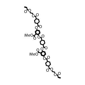 C=CC(=O)OCCOC(=O)C1CCC(C(=O)Oc2ccc(OC(=O)C3CCC(C(=O)Oc4ccc(OC(=O)C5CCC(C(=O)OCCOC(=O)C=C)CC5)cc4C(=O)OC)CC3)c(C(=O)OC)c2)CC1